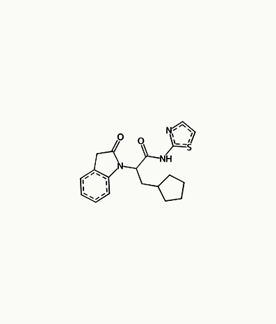 O=C(Nc1nccs1)C(CC1CCCC1)N1C(=O)Cc2ccccc21